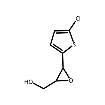 OCC1OC1c1ccc(Cl)s1